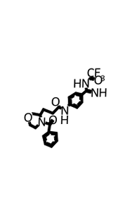 N=C(NC(=O)C(F)(F)F)c1ccc(NC(=O)CCC2COCCN2C(=O)c2ccccc2)cc1